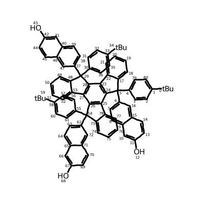 CC(C)(C)c1ccc(C2(c3ccc4cc(O)ccc4c3)c3ccccc3-c3c2c2c(c4c3C(c3ccc(C(C)(C)C)cc3)(c3ccc5cc(O)ccc5c3)c3ccccc3-4)C(c3ccc(C(C)(C)C)cc3)(c3ccc4cc(O)ccc4c3)c3ccccc3-2)cc1